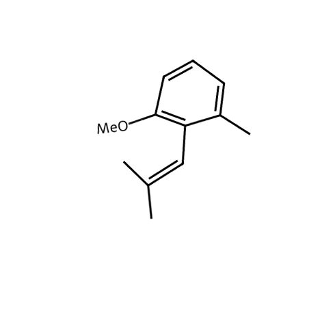 COc1cccc(C)c1C=C(C)C